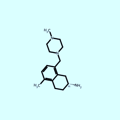 Cc1ccc(CN2CCN(C)CC2)c2c1CC[C@@H](N)C2